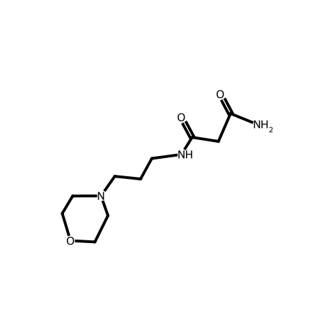 NC(=O)CC(=O)NCCCN1CCOCC1